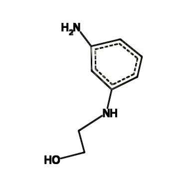 Nc1cccc(NCCO)c1